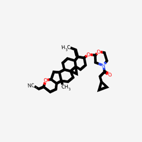 C/C=C1/C(OC2CN(C(=O)CC3CC3)CCO2)CCC23CC24CCC2(C)C5CCC(CC#N)OC5CC2C4CCC13